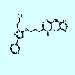 CCCn1nc(-c2cccnc2)cc1OCCCC(=O)N[C@@H](Cc1c[nH]cn1)C(N)=O